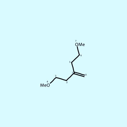 C=C(CCOC)CCOC